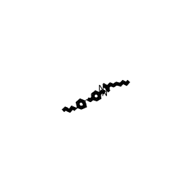 CCCCCCCc1cnc(C2CCC(CC[C@H]3CC[C@H](CCCCC)CC3)CC2)nc1